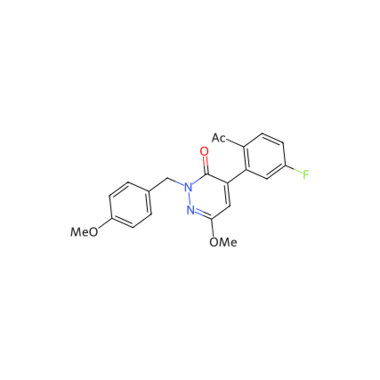 COc1ccc(Cn2nc(OC)cc(-c3cc(F)ccc3C(C)=O)c2=O)cc1